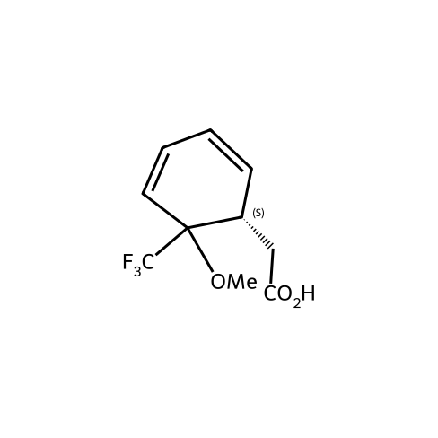 COC1(C(F)(F)F)C=CC=C[C@@H]1CC(=O)O